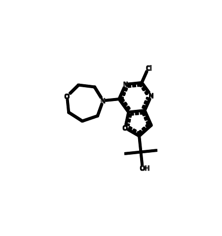 CC(C)(O)c1cc2nc(Cl)nc(N3CCCOCC3)c2o1